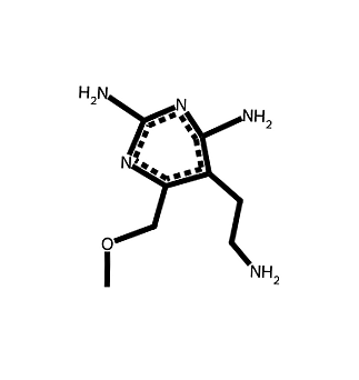 COCc1nc(N)nc(N)c1CCN